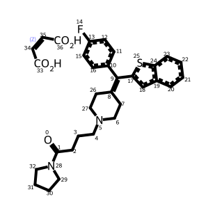 O=C(CCCN1CCC(=C(c2ccc(F)cc2)c2cc3ccccc3s2)CC1)N1CCCC1.O=C(O)/C=C\C(=O)O